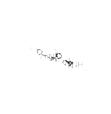 COc1ccc(-c2ccn3nc(N)nc3c2)c(F)c1C(=O)NCC[C@H](O)c1ccc(Cl)cc1